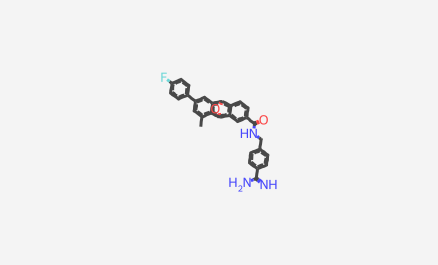 Cc1cc(-c2ccc(F)cc2)cc2c3oc(c4cc(C(=O)NCc5ccc(C(=N)N)cc5)ccc43)c12